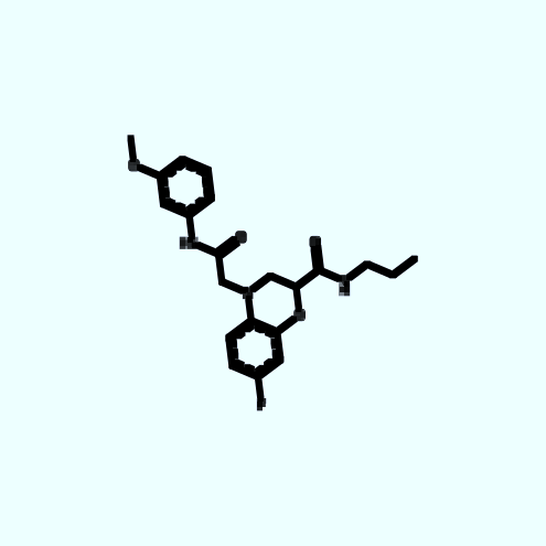 CCCNC(=O)C1CN(CC(=O)Nc2cccc(OC)c2)c2ccc(F)cc2O1